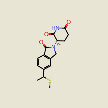 CSC(C)c1ccc2c(c1)CN([C@H]1CCC(=O)NC1=O)C2=O